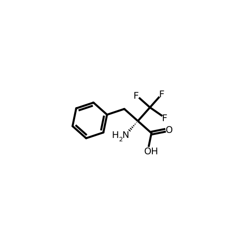 N[C@@](Cc1ccccc1)(C(=O)O)C(F)(F)F